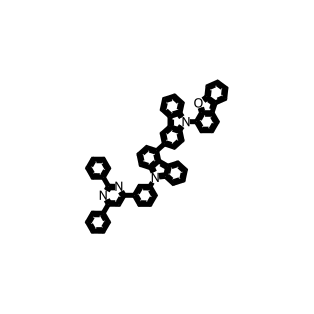 c1ccc(-c2cc(-c3cccc(-n4c5ccccc5c5c(-c6ccc7c(c6)c6ccccc6n7-c6cccc7c6oc6ccccc67)cccc54)c3)nc(-c3ccccc3)n2)cc1